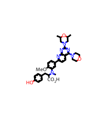 COc1ccc(-c2ccc3c(N4CCOCC4)nc(N4CC(C)OC(C)C4)nc3n2)cc1N(C)C(Cc1ccc(O)cc1)C(=O)O